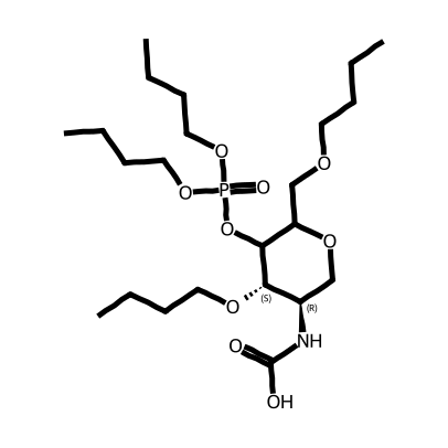 CCCCOCC1OC[C@@H](NC(=O)O)[C@H](OCCCC)C1OP(=O)(OCCCC)OCCCC